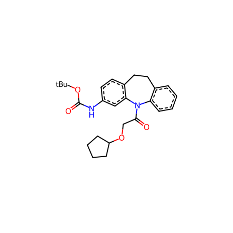 CC(C)(C)OC(=O)Nc1ccc2c(c1)N(C(=O)COC1CCCC1)c1ccccc1CC2